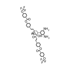 Nc1cc(N)cc(C(CC(=O)C=Cc2ccc(OC(=O)c3ccc(OC(F)(F)F)cc3)cc2)C(O)(O)C(=O)C=Cc2ccc(OC(=O)c3ccc(OC(F)(F)F)cc3)cc2)c1